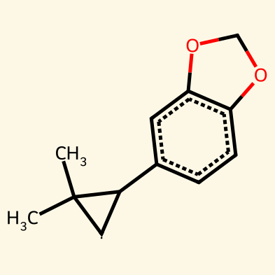 CC1(C)[CH]C1c1ccc2c(c1)OCO2